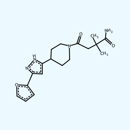 CC(C)(CC(=O)N1CCC(c2cc(-c3ccco3)n[nH]2)CC1)C(N)=O